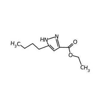 CCCCc1cc(C(=O)OCC)n[nH]1